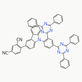 N#Cc1ccc(-c2ccc3c(c2)c2ccccc2n3-c2ccc(-c3nc(-c4ccccc4)nc(-c4ccccc4)n3)cc2-c2nc(-c3ccccc3)nc(-c3ccccc3)n2)c(C#N)c1